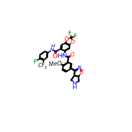 COc1ccc(C2=NOC3CNCC23)cc1C(=O)Nc1cc2c(cc1C(=O)Nc1ccc(F)c(C(F)(F)F)c1)OC(F)(F)O2